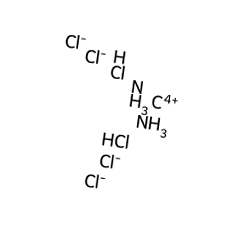 Cl.Cl.N.N.[C+4].[Cl-].[Cl-].[Cl-].[Cl-]